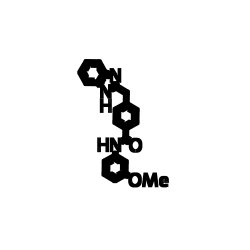 COc1cccc(NC(=O)c2ccc(Cc3nc4ccccc4[nH]3)cc2)c1